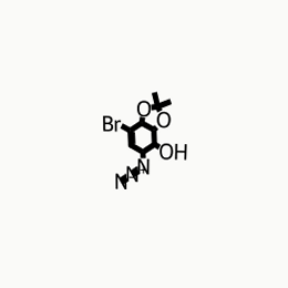 CC1(C)OC2C(Br)=CC(N=[N+]=[N-])C(O)C2O1